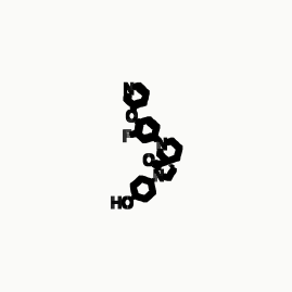 O=C1N([C@H]2CC[C@@H](O)CC2)CC[C@]12CCCN(c1ccc(Oc3cccnc3)c(F)c1)C2